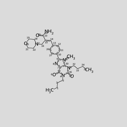 CCCCn1c(=O)c2nc(-c3ccc(/C=C(\CN4CCOCC4)C(N)=O)cc3)n(C)c2n(CCCC)c1=O